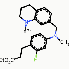 CCCN1CCCc2ccc(CN(C)c3ccc(CCC(=O)OCC)c(F)c3)cc21